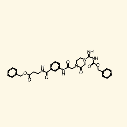 N=C(NC(=O)OCc1ccccc1)N1CCN(CC(=O)Nc2cccc(C(=O)NCCC(=O)OCc3ccccc3)c2)C(=O)C1